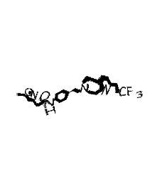 Cc1cc(CC(=O)N[C@H]2CC[C@H](CCN3CCc4ccc(CCC(F)(F)F)nc4CC3)CC2)no1